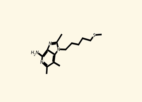 CSCCCCCn1c(C)nc2c(N)nc(C)c(C)c21